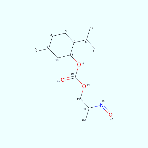 CC1CCC(C(C)C)C(OC(=O)OCC(C)N=O)C1